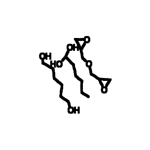 C(OCC1CO1)C1CO1.CCCCCC(O)O.OCCCCCCO